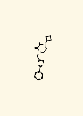 O=C1C(=O)N(C2CCC2)CCN1Cc1cnc(-c2ccccc2)s1